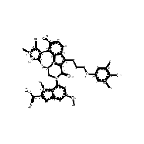 COc1cc(N2C[C@@H](C)n3c(c(CCCOc4cc(C)c(Cl)c(C)c4)c4ccc(Cl)c(-c5c(C)nn(C)c5C)c43)C2=O)c2c(c1)cc(C(=O)O)n2C